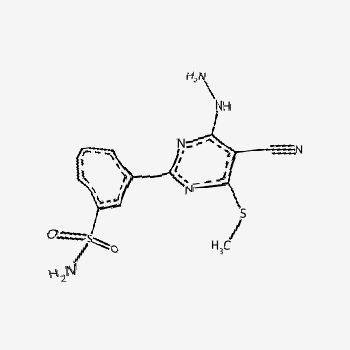 CSc1nc(-c2cccc(S(N)(=O)=O)c2)nc(NN)c1C#N